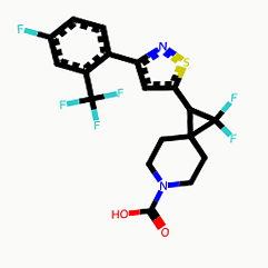 O=C(O)N1CCC2(CC1)C(c1cc(-c3ccc(F)cc3C(F)(F)F)ns1)C2(F)F